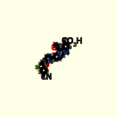 N#Cc1ccc(C2(Oc3cccc(C4CCN(Cc5nc6ccc(C(=O)O)cc6n5CC5CCO5)CC4)n3)CC2)c(F)c1